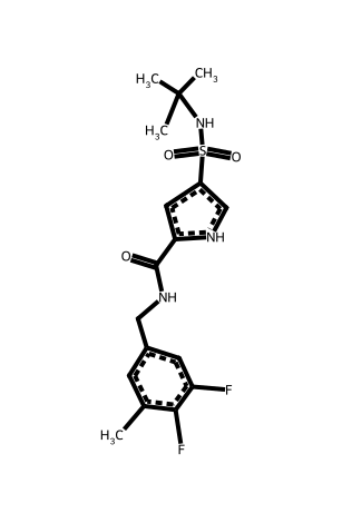 Cc1cc(CNC(=O)c2cc(S(=O)(=O)NC(C)(C)C)c[nH]2)cc(F)c1F